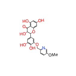 COc1ccc(COc2cc(C3Oc4cc(O)cc(O)c4C(=O)C3O)cc(O)c2O)nc1